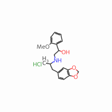 COc1ccccc1C(O)CNC(C)Cc1ccc2c(c1)OCO2.Cl